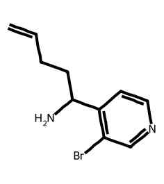 C=CCCC(N)c1ccncc1Br